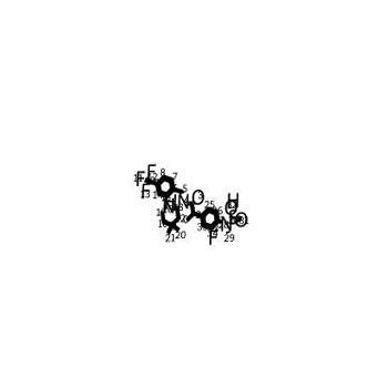 CC(C(=O)NCc1ccc(C(F)(F)F)cc1N1CCC(C)(C)CC1)c1ccc(N(C)[SH](=O)=O)c(F)c1